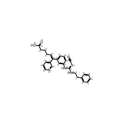 N#CN=C(NCCc1ccccc1)Nc1cccc(C(=CCCCC(=O)O)c2cccnc2)c1